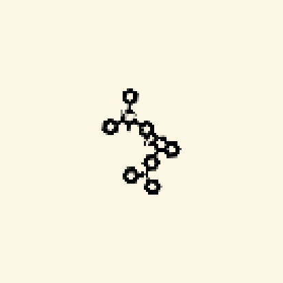 Cc1c(-c2ccccc2)nc(-c2ccccc2)nc1-c1ccc2c(c1)oc1c(-c3ccc(N(c4ccccc4)c4ccccc4)cc3)c3ccccc3cc12